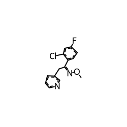 CON=C(Cc1cccnc1)c1ccc(F)cc1Cl